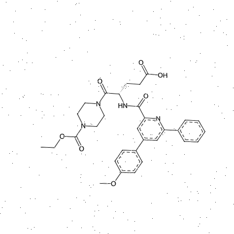 CCOC(=O)N1CCN(C(=O)[C@H](CCC(=O)O)NC(=O)c2cc(-c3ccc(OC)cc3)cc(-c3ccccc3)n2)CC1